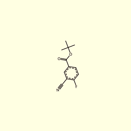 CC(C)(C)OC(=O)c1ccc(F)c(C#N)c1